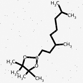 CC(C)CCCC(C)CCB1OC(C)(C)C(C)(C)O1